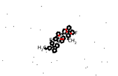 C=CC1=CCC(C2(c3ccc(F)cc3)C3C=CC=CC3C3C=CC(N(C4=CC=CCC4)c4cccc5c6c(oc45)C(N(C4C=CC=CC4)C4C=CC5=C(C4)C(C4=CC=C(F)CC4)(c4ccc(C=C)cc4)c4ccccc45)CC=C6)CC32)C=C1